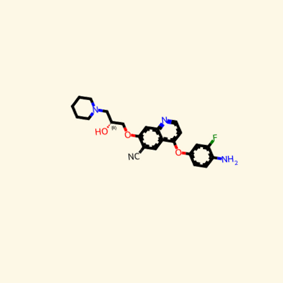 N#Cc1cc2c(Oc3ccc(N)c(F)c3)ccnc2cc1OC[C@H](O)CN1CCCCC1